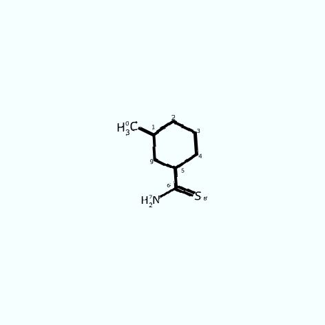 CC1CCCC(C(N)=S)C1